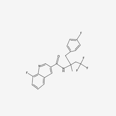 CC(Cc1ccc(F)cc1)(CC(F)(F)F)NC(=O)c1cnc2c(F)cccc2c1